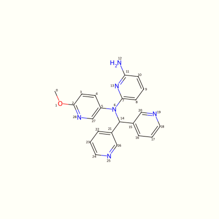 COc1ccc(N(c2cccc(N)n2)C(c2cccnc2)c2cccnc2)cn1